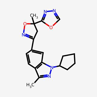 Cc1nn(C2CCCC2)c2cc(C3=NOC(C)(c4nnco4)C3)ccc12